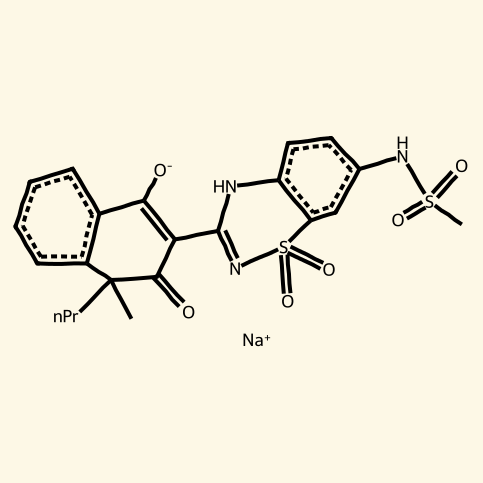 CCCC1(C)C(=O)C(C2=NS(=O)(=O)c3cc(NS(C)(=O)=O)ccc3N2)=C([O-])c2ccccc21.[Na+]